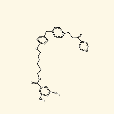 Nc1cc(N)cc(C(=O)OCCCCCCOc2ccc(Cc3ccc(CCC(=O)c4ccccc4)cc3)cc2)c1